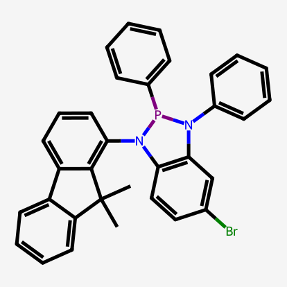 CC1(C)c2ccccc2-c2cccc(N3c4ccc(Br)cc4N(c4ccccc4)P3c3ccccc3)c21